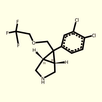 FC(F)(F)COCC1(c2ccc(Cl)c(Cl)c2)[C@@H]2CNC[C@@H]21